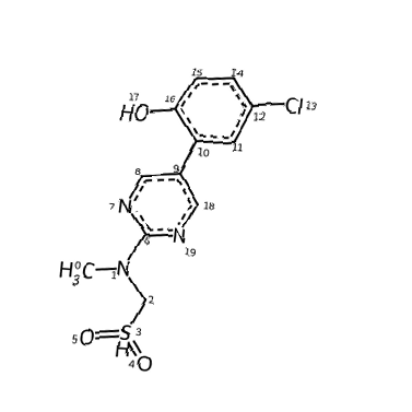 CN(C[SH](=O)=O)c1ncc(-c2cc(Cl)ccc2O)cn1